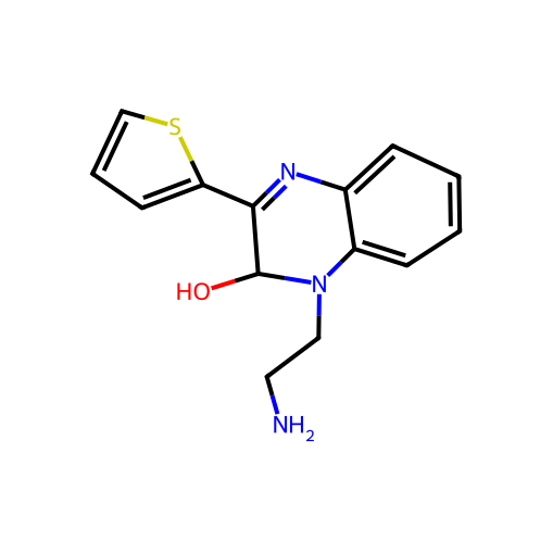 NCCN1c2ccccc2N=C(c2cccs2)C1O